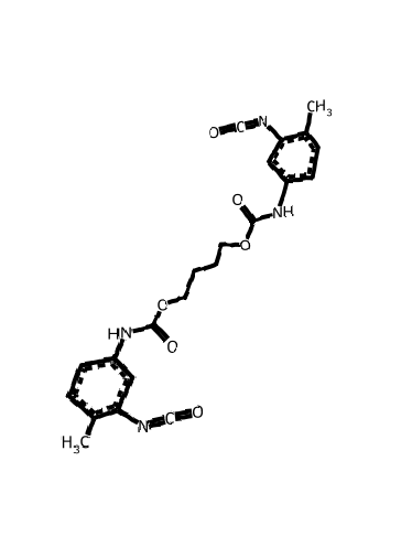 Cc1ccc(NC(=O)OCCCCOC(=O)Nc2ccc(C)c(N=C=O)c2)cc1N=C=O